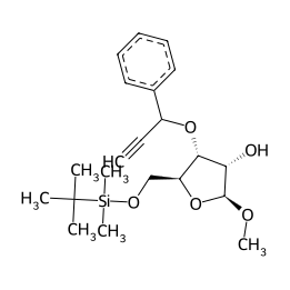 C#CC(O[C@@H]1[C@H](O)[C@@H](OC)O[C@H]1CO[Si](C)(C)C(C)(C)C)c1ccccc1